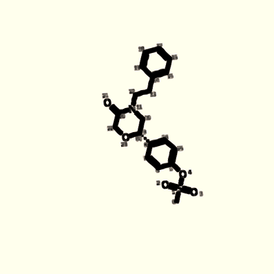 CS(=O)(=O)Oc1ccc([C@H]2CN(CCc3ccccc3)C(=O)CO2)cc1